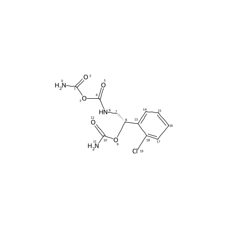 NC(=O)OC(=O)NC[C@@H](OC(N)=O)c1ccccc1Cl